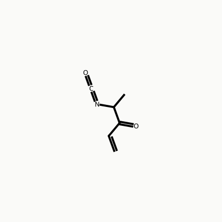 C=CC(=O)C(C)N=C=O